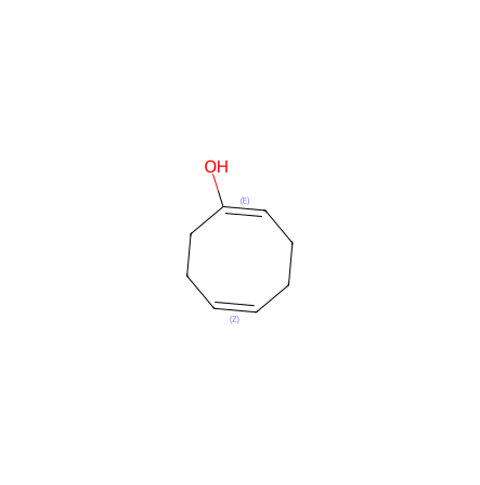 O/C1=C/CC/C=C\CC1